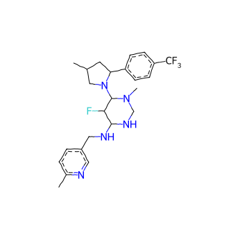 Cc1ccc(CNC2NCN(C)C(N3CC(C)CC3c3ccc(C(F)(F)F)cc3)C2F)cn1